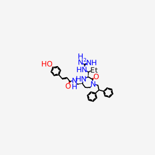 CCC(NC(=N)N)[C@@H]1N[C@H](CNC(=O)/C=C/c2ccc(O)cc2)CCN(CC(c2ccccc2)c2ccccc2)C1=O